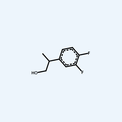 CC(CO)c1ccc(F)c(F)c1